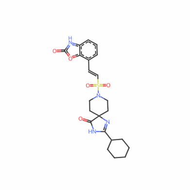 O=C1NC(C2CCCCC2)=NC12CCN(S(=O)(=O)/C=C/c1cccc3[nH]c(=O)oc13)CC2